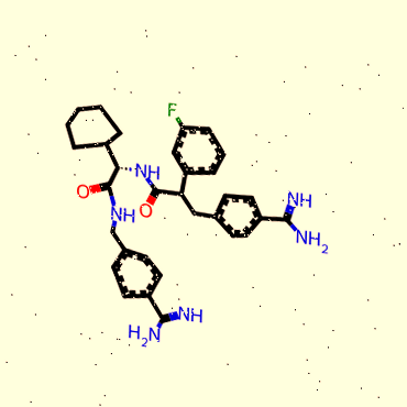 N=C(N)c1ccc(CNC(=O)[C@@H](NC(=O)C(Cc2ccc(C(=N)N)cc2)c2cccc(F)c2)C2CCCCC2)cc1